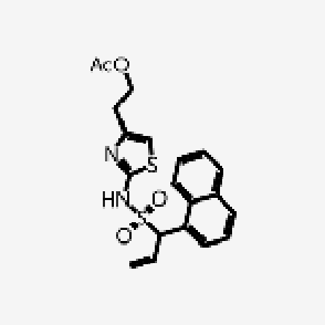 C=CC(c1cccc2ccccc12)S(=O)(=O)Nc1nc(CCOC(C)=O)cs1